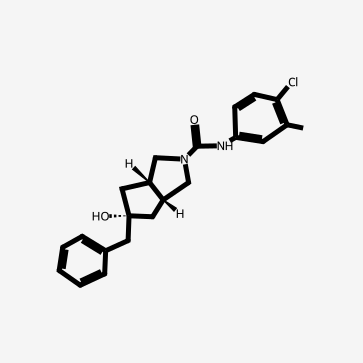 Cc1cc(NC(=O)N2C[C@@H]3C[C@@](O)(Cc4ccccc4)C[C@@H]3C2)ccc1Cl